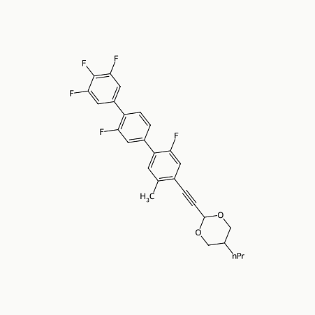 CCCC1COC(C#Cc2cc(F)c(-c3ccc(-c4cc(F)c(F)c(F)c4)c(F)c3)cc2C)OC1